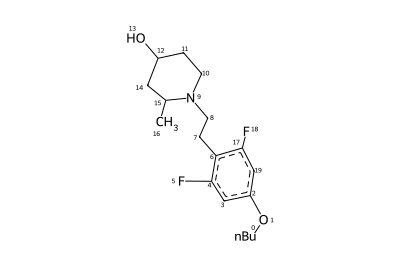 CCCCOc1cc(F)c(CCN2CCC(O)CC2C)c(F)c1